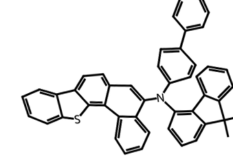 CC1(C)c2ccccc2-c2c(N(c3ccc(-c4ccccc4)cc3)c3cc4ccc5c6ccccc6sc5c4c4ccccc34)cccc21